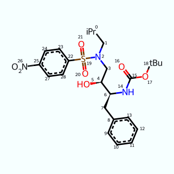 CC(C)CN(C[C@H](O)[C@H](Cc1ccccc1)NC(=O)OC(C)(C)C)S(=O)(=O)c1ccc([N+](=O)[O-])cc1